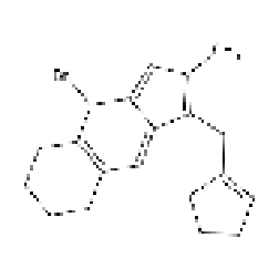 CC1=C(CC2=CC=CC2)C2=CC3=C(CCCC3)C(Br)C2=C1